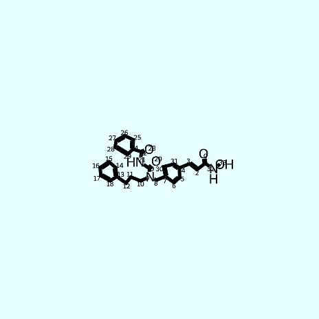 O=C(/C=C/c1ccc(CN(CCCc2ccccc2)C(=O)NC(=O)c2ccccc2)cc1)NO